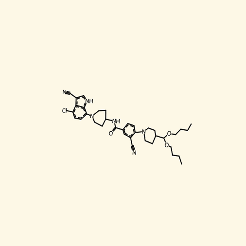 CCCCOC(OCCCC)C1CCN(c2ccc(C(=O)NC3CCN(c4ccc(Cl)c5c(C#N)c[nH]c45)CC3)cc2C#N)CC1